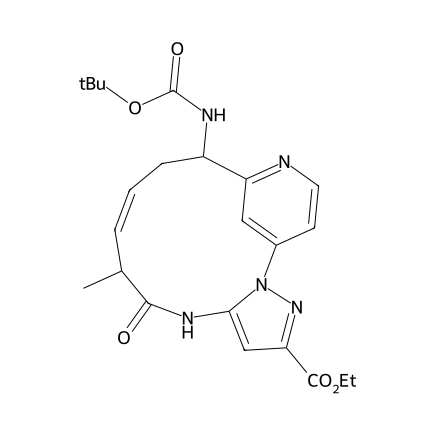 CCOC(=O)c1cc2n(n1)-c1ccnc(c1)C(NC(=O)OC(C)(C)C)CC=CC(C)C(=O)N2